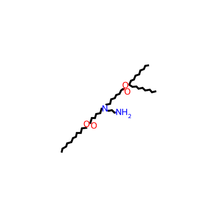 CCCCCCCCCCCOC(=O)CCCCCN(CCCN)CCCCCCCC(=O)OC(CCCCCCCC)CCCCCCCC